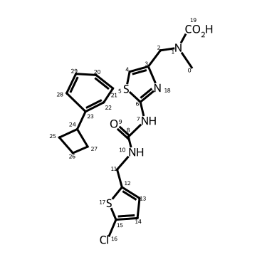 CN(Cc1csc(NC(=O)NCc2ccc(Cl)s2)n1)C(=O)O.c1ccc(C2CCC2)cc1